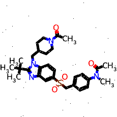 CC(=O)N1CCC(Cn2c(C(C)(C)C)nc3cc(S(=O)(=O)Cc4ccc(N(C)C(C)=O)cc4)ccc32)CC1